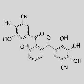 N#Cc1cc(C(=O)c2ccccc2C(=O)c2cc(C#N)c(O)c(O)c2O)c(O)c(O)c1O